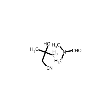 CC(C)(O)CC#N.CN(C)C=O